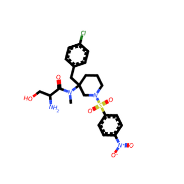 CN(C(=O)C(N)CO)C1(Cc2ccc(Cl)cc2)CCCN(S(=O)(=O)c2ccc([N+](=O)[O-])cc2)C1